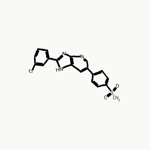 CS(=O)(=O)c1ccc(-c2cnc3nc(-c4cccc(Cl)c4)[nH]c3c2)cc1